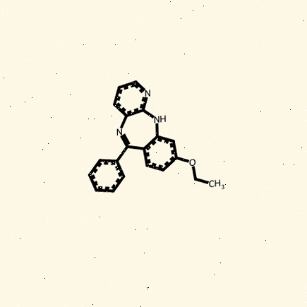 CCOc1ccc2c(c1)Nc1ncccc1N=C2c1ccccc1